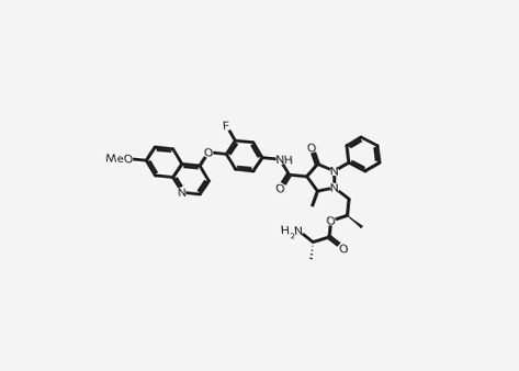 COc1ccc2c(Oc3ccc(NC(=O)C4C(=O)N(c5ccccc5)N(C[C@@H](C)OC(=O)[C@H](C)N)C4C)cc3F)ccnc2c1